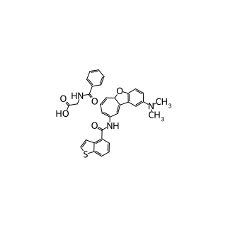 CN(C)c1ccc2c(c1)C1=CC(NC(=O)c3cccc4sccc34)=CC=CC1O2.O=C(O)CNC(=O)c1ccccc1